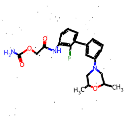 CC1CN(c2cccc(-c3cccc(NC(=O)COC(N)=O)c3F)c2)CC(C)O1